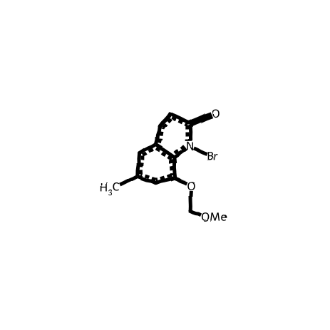 COCOc1cc(C)cc2ccc(=O)n(Br)c12